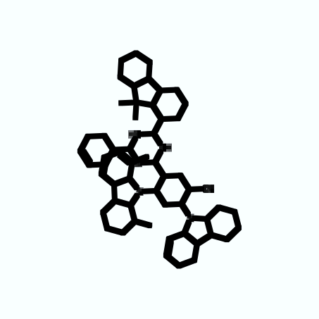 CC1=CC=CC2C3CCCC(C)C3N(C3CC(N4C5C=CCCC5C5CCCCC54)C(C#N)CC3C3NC(C4CC=CCC4)NC(C4CCCC5C6CCCCC6C(C)(C)C45)N3)C12